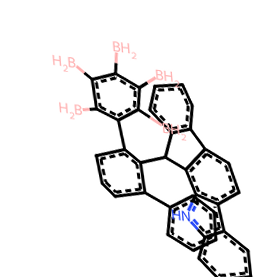 Bc1c(B)c(B)c(-c2cccc(-c3ccccc3)c2C2c3ccccc3-c3ccc4c([nH]c5ccccc54)c32)c(B)c1B